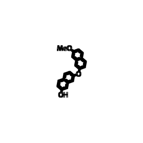 COc1ccc2ccc(Oc3ccc4ccc(O)cc4c3)cc2c1